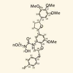 CCCCCCCCN(O)C(=O)Nc1cc(C2CCC(c3cc(OC)c(OC)c(OC)c3)O2)cc(OC)c1OC(C)Sc1ccc(F)cc1